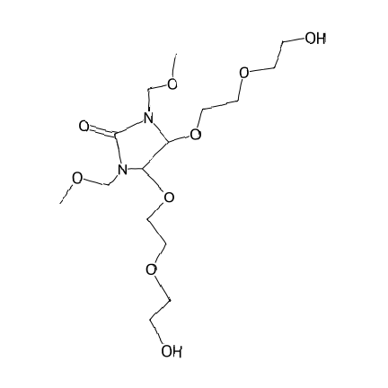 COCN1C(=O)N(COC)C(OCCOCCO)C1OCCOCCO